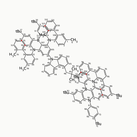 Cc1ccc(N2c3ccc(C(C)(C)C)cc3B3c4cc(C(C)(C)C)ccc4N(c4ccc(C)cc4-c4ccccc4C)c4cc(-n5c6ccccc6c6c(CC(C)(C)c7ccc8c(c7)B7c9cc(C(C)(C)C)ccc9N(c9ccc(C(C)(C)C)cc9)c9cccc(c97)N8c7c(-c8cccc(C(C)(C)C)c8)cccc7-c7cccc(C(C)(C)C)c7)cccc65)cc2c43)c(-c2ccccc2C)c1